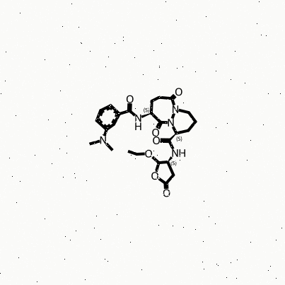 CCOC1OC(=O)C[C@@H]1NC(=O)[C@@H]1CCCN2C(=O)CC[C@H](NC(=O)c3cccc(N(C)C)c3)C(=O)N12